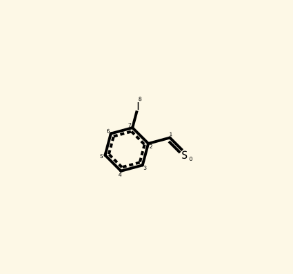 S=Cc1ccccc1I